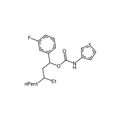 CCCCCC(CC)CC(OC(=O)Nc1ccsc1)c1cccc(F)c1